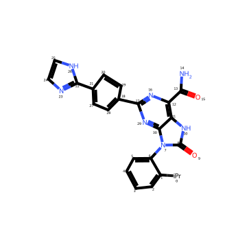 CC(C)c1ccccc1-n1c(=O)[nH]c2c(C(N)=O)nc(-c3ccc(-c4ncc[nH]4)cc3)nc21